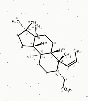 CC(=O)O/C=C\[C@]1(C)[C@H](CC(=O)O)CC[C@@H]2[C@@H]1CC[C@@]1(C)[C@H]2CC[C@]1(C)OC(C)=O